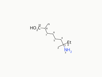 CCC(C)(N)CCCCC(C)C(=O)O